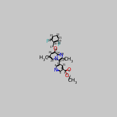 CCOC(=O)c1cncc(-c2c(C)nc3c(OCc4c(F)cccc4F)cc(C)cn23)c1